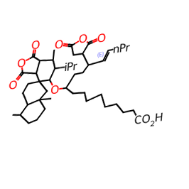 CCC/C=C/C(CCC(CCCCCCCCC(=O)O)OC1C(C(C)C)C(C)C2C(=O)OC(=O)C2C12CCC1C(C)CCCC1(C)C2)C1CC(=O)OC1=O